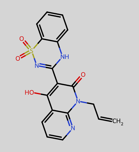 C=CCn1c(=O)c(C2=NS(=O)(=O)c3ccccc3N2)c(O)c2cccnc21